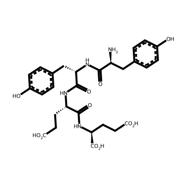 N[C@@H](Cc1ccc(O)cc1)C(=O)N[C@@H](Cc1ccc(O)cc1)C(=O)N[C@@H](CCC(=O)O)C(=O)N[C@@H](CCC(=O)O)C(=O)O